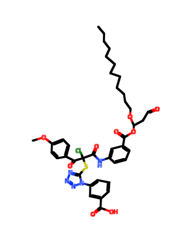 CCCCCCCCCCCCOC(CC=O)OC(=O)c1cccc(NC(=O)C(Cl)(Sc2nnnn2-c2cccc(C(=O)O)c2)C(=O)c2ccc(OC)cc2)c1